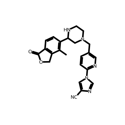 Cc1c(C2CN(Cc3ccc(-n4cnc(C#N)c4)nc3)CCN2)ccc2c1COC2=O